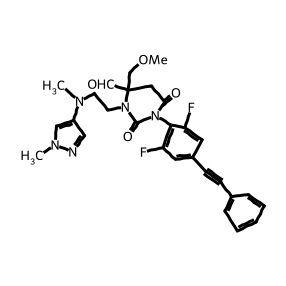 COCC1(C=O)CC(=O)N(c2c(F)cc(C#Cc3ccccc3)cc2F)C(=O)N1CCN(C)c1cnn(C)c1